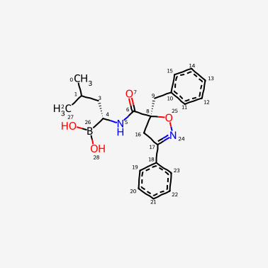 CC(C)C[C@H](NC(=O)[C@]1(Cc2ccccc2)CC(c2ccccc2)=NO1)B(O)O